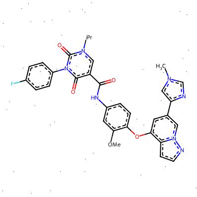 COc1cc(NC(=O)c2cn(C(C)C)c(=O)n(-c3ccc(F)cc3)c2=O)ccc1Oc1cc(-c2cn(C)cn2)cn2nccc12